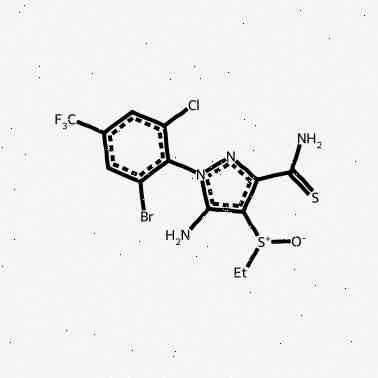 CC[S+]([O-])c1c(C(N)=S)nn(-c2c(Cl)cc(C(F)(F)F)cc2Br)c1N